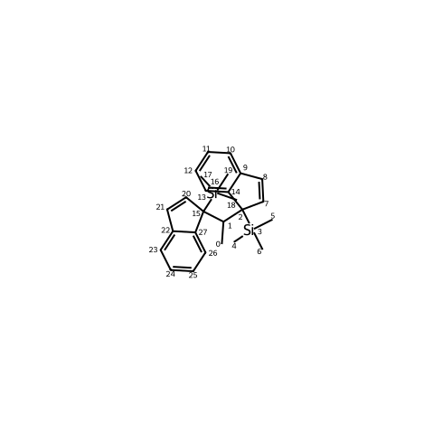 CC(C1([Si](C)(C)C)C=Cc2ccccc21)C1([Si](C)(C)C)C=Cc2ccccc21